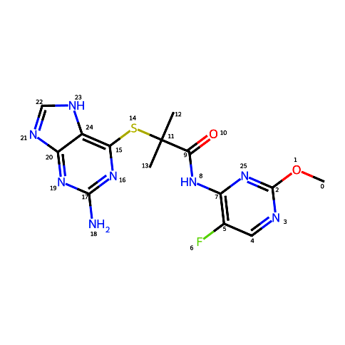 COc1ncc(F)c(NC(=O)C(C)(C)Sc2nc(N)nc3nc[nH]c23)n1